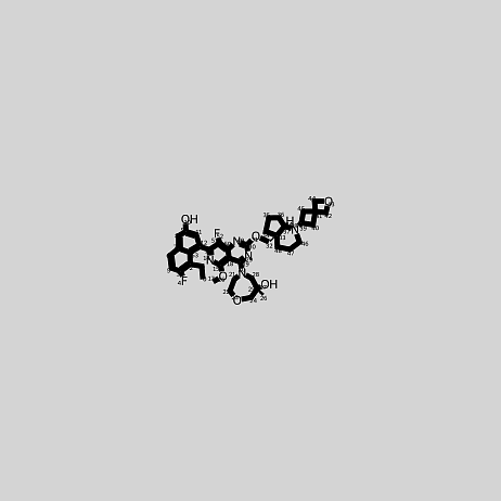 CCc1c(F)ccc2cc(O)cc(-c3nc(OC)c4c(N5CCOC[C@@](C)(O)C5)nc(OC[C@]56CCC[C@H]5N(C5CC7(COC7)C5)CCC6)nc4c3F)c12